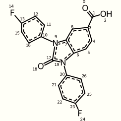 O=C(O)c1ccc2c(c1)n(-c1ccc(F)cc1)c(=O)n2-c1ccc(F)cc1